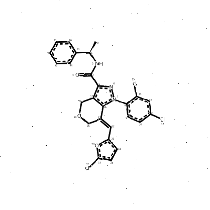 C[C@@H](NC(=O)c1nn(-c2ccc(Cl)cc2Cl)c2c1COC/C2=C\c1ccc(Cl)o1)c1ccccc1